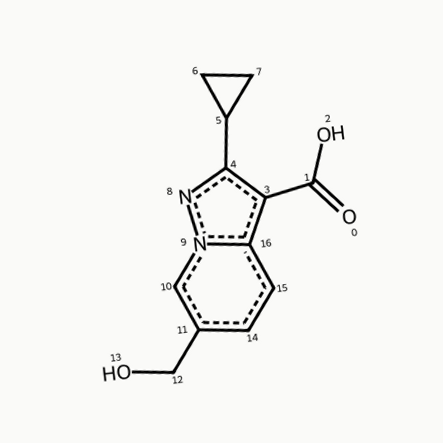 O=C(O)c1c(C2CC2)nn2cc(CO)ccc12